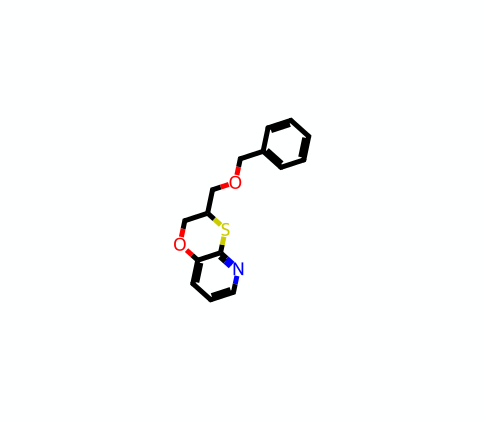 c1ccc(COCC2COc3cccnc3S2)cc1